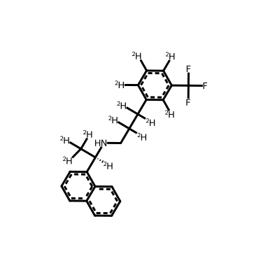 [2H]c1c([2H])c(C(F)(F)F)c([2H])c(C([2H])([2H])C([2H])([2H])CN[C@@]([2H])(c2cccc3ccccc23)C([2H])([2H])[2H])c1[2H]